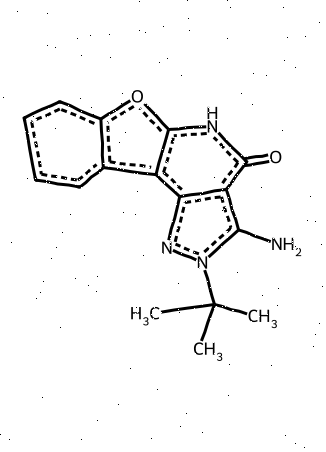 CC(C)(C)n1nc2c(c1N)c(=O)[nH]c1oc3ccccc3c12